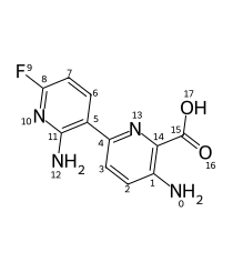 Nc1ccc(-c2ccc(F)nc2N)nc1C(=O)O